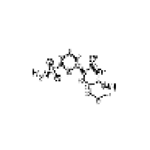 NS(=O)(=O)c1cccc(N(CC2CCCNC2)[N+](=O)[O-])c1